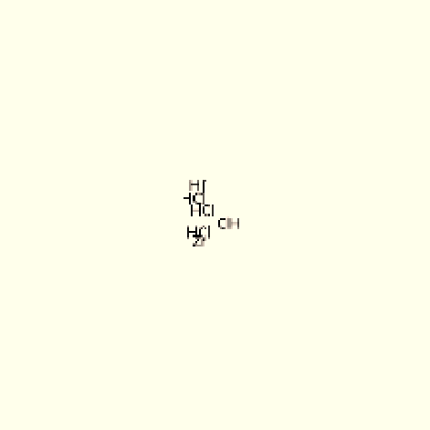 Cl.Cl.Cl.Cl.[Hf].[Zr]